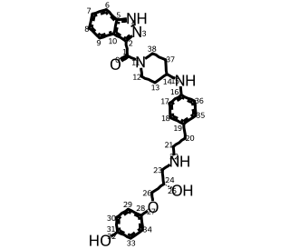 O=C(c1n[nH]c2ccccc12)N1CCC(Nc2ccc(CCNC[C@H](O)COc3ccc(O)cc3)cc2)CC1